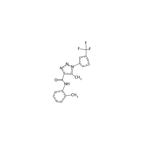 Cc1ccccc1NC(=O)c1nnn(-c2cccc(C(F)(F)F)c2)c1C